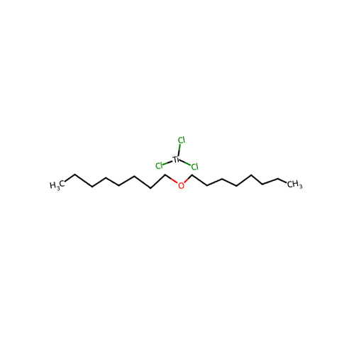 CCCCCCCCOCCCCCCCC.[Cl][Ti]([Cl])[Cl]